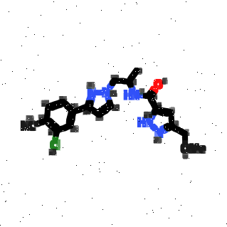 COCc1cc(C(=O)NC(C)Cn2ccc(-c3ccc(C#N)c(Cl)c3)n2)[nH]n1